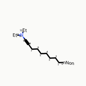 CCCCCCCCCCCCCCCCC#CN(CC)CC